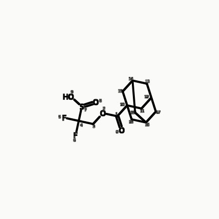 O=C(OCC(F)(F)S(=O)O)C12CC3CC(CC(C3)C1)C2